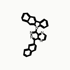 c1ccc2cc(-c3nnc(-n4c5ccccc5c5cc6ccccc6cc54)c4nccnc34)ccc2c1